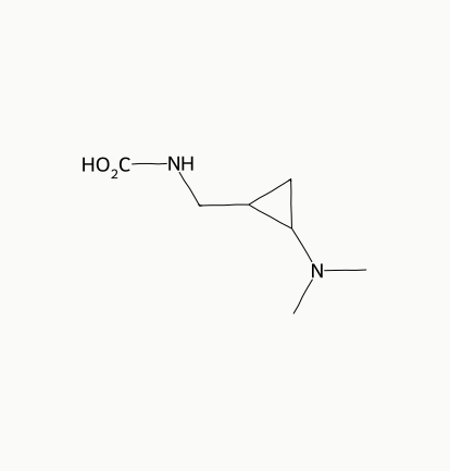 CN(C)C1CC1CNC(=O)O